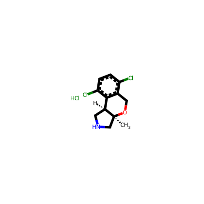 C[C@]12CNC[C@H]1c1c(Cl)ccc(Cl)c1CO2.Cl